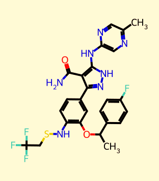 Cc1cnc(Nc2[nH]nc(-c3ccc(NSCC(F)(F)F)c(OC(C)c4ccc(F)cc4)c3)c2C(N)=O)cn1